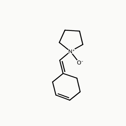 [O-][N+]1(C=C2CC=CCC2)CCCC1